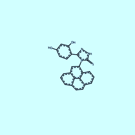 Oc1ccc(-c2n[nH]c(=S)n2-c2cc3cccc4ccc5cccc2c5c43)c(O)c1